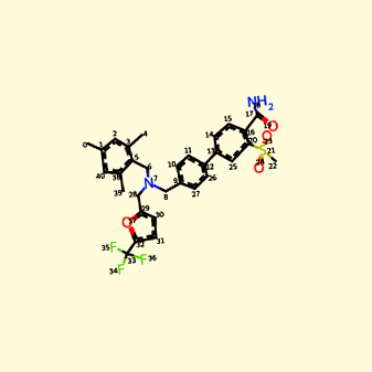 Cc1cc(C)c(CN(Cc2ccc(-c3ccc(C(N)=O)c(S(C)(=O)=O)c3)cc2)Cc2ccc(C(F)(F)F)o2)c(C)c1